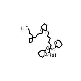 CCCCC1(CCC[C@H]2CCC[C@@H]2CCCCCC(OC2CCCCO2)(OC2CCCCO2)C(=O)O)CCC1